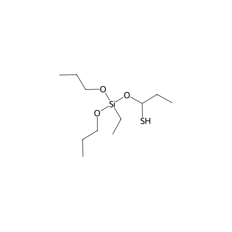 CCCO[Si](CC)(OCCC)OC(S)CC